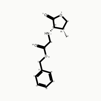 C[C@H]1COC(=O)[C@H]1NCC(=O)OCc1ccccc1